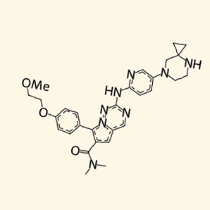 COCCOc1ccc(-c2c(C(=O)N(C)C)cc3cnc(Nc4ccc(N5CCNC6(CC6)C5)cn4)nn23)cc1